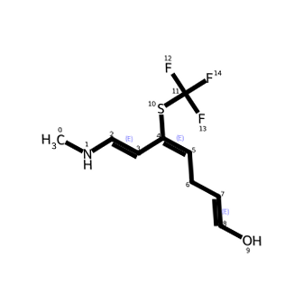 CN/C=C/C(=C\C/C=C/O)SC(F)(F)F